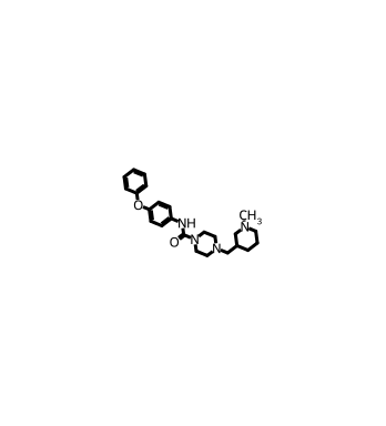 CN1CCCC(CN2CCN(C(=O)Nc3ccc(Oc4ccccc4)cc3)CC2)C1